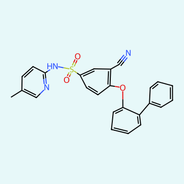 Cc1ccc(NS(=O)(=O)c2ccc(Oc3ccccc3-c3ccccc3)c(C#N)c2)nc1